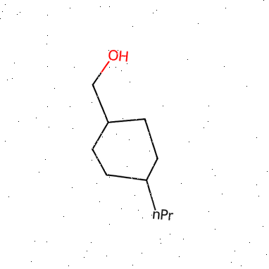 CCCC1CCC(CO)CC1